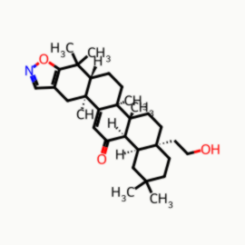 CC1(C)CC[C@]2(CCO)CC[C@]3(C)[C@H](C(=O)C=C4[C@@]5(C)Cc6cnoc6C(C)(C)[C@@H]5CC[C@]43C)[C@@H]2C1